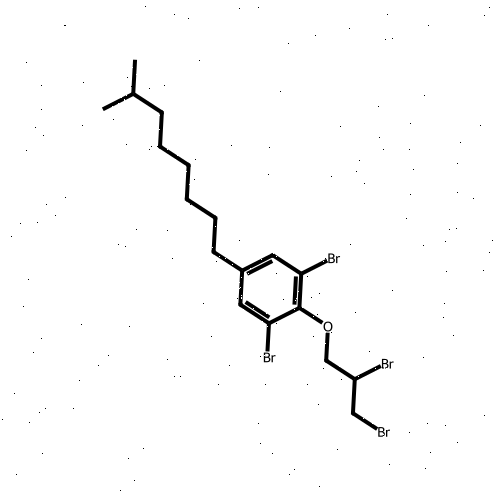 CC(C)CCCCCCc1cc(Br)c(OCC(Br)CBr)c(Br)c1